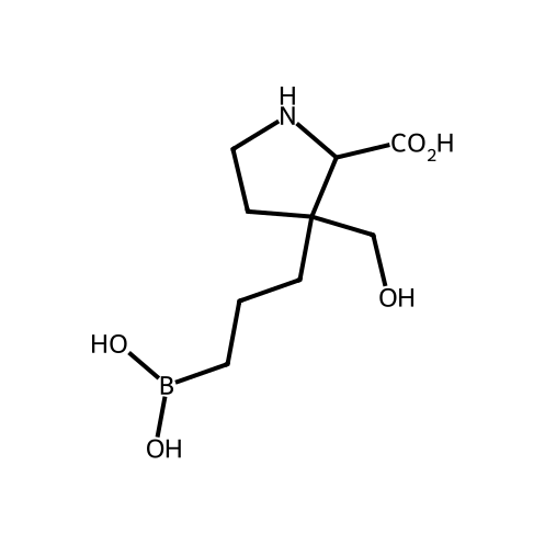 O=C(O)C1NCCC1(CO)CCCB(O)O